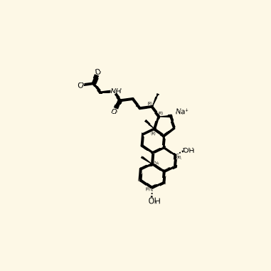 C[C@H](CCC(=O)NCC(=O)[O-])[C@H]1CCC2C3C(CC[C@@]21C)[C@@]1(C)CC[C@@H](O)CC1C[C@H]3O.[Na+]